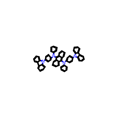 C1=C=C(N(c2ccc(-n3c4ccccc4c4ccccc43)cc2)c2c3ccccc3c(N(c3ccccc3)c3ccc(-n4c5ccccc5c5ccccc54)cc3)c3ccccc23)C=CC=1